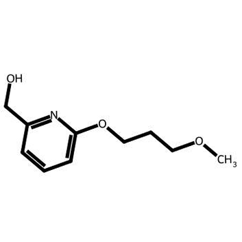 COCCCOc1cccc(CO)n1